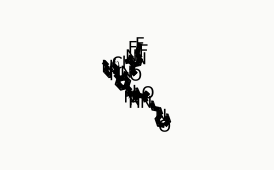 C[C@H]1CN(c2ccc(-n3cc(C(=O)NCCCN4CCOCC4)nn3)cc2NC(=O)c2cnc(C(F)(F)F)nc2Cl)CCN1C